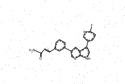 NC(=O)/C=C/c1cccc(-c2cnc3[nH]cc(-c4ccc(F)nc4)c3c2)c1